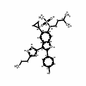 CCCc1nc(-c2c(-c3ccc(F)cc3)oc3cc(N(CCC(C)C)S(C)(=O)=O)c(C4CC4)cc23)no1